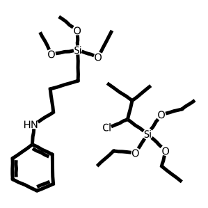 CCO[Si](OCC)(OCC)C(Cl)C(C)C.CO[Si](CCCNc1ccccc1)(OC)OC